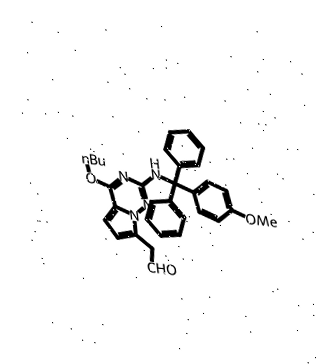 CCCCOc1nc(NC(c2ccccc2)(c2ccccc2)c2ccc(OC)cc2)nn2c(CC=O)ccc12